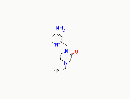 C[C](C)CN1CCN(Cc2cc(N)ccn2)C(=O)C1